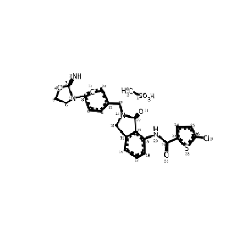 CS(=O)(=O)O.N=C1OCCN1c1ccc(CN2Cc3cccc(NC(=O)c4ccc(Cl)s4)c3C2=O)cc1